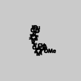 COC(=O)c1cncc(OCCN2CCN(C(=O)OC(C)(C)C)CC2)c1C